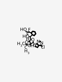 CC1(C)O[C@@H]2[C@H](O1)C(C(O)c1ccccc1C(F)(F)CO)O[C@H]2n1ccc2c(Cl)ncnc21